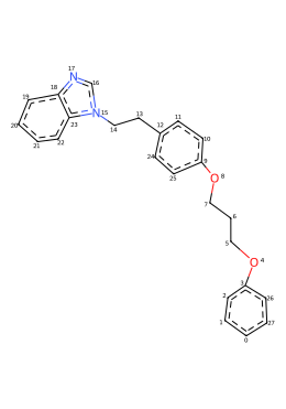 c1ccc(OCCCOc2ccc(CCn3cnc4ccccc43)cc2)cc1